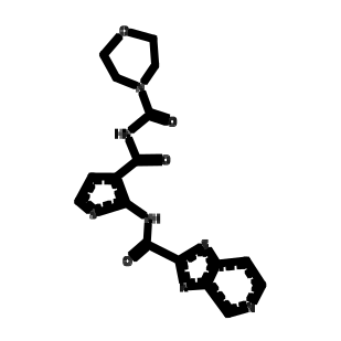 O=C(Nc1sccc1C(=O)NC(=O)N1CCOCC1)c1nc2cnccc2s1